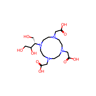 O=C(O)CN1CCN(CC(=O)O)CCN([C@@H](CO)C(O)CO)CCN(CC(=O)O)CC1